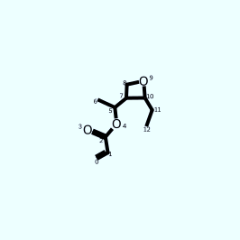 C=CC(=O)OC(C)C1COC1CC